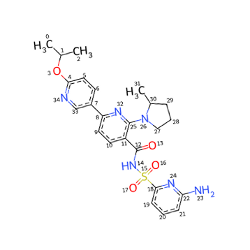 CC(C)Oc1ccc(-c2ccc(C(=O)NS(=O)(=O)c3cccc(N)n3)c(N3CCCC3C)n2)cn1